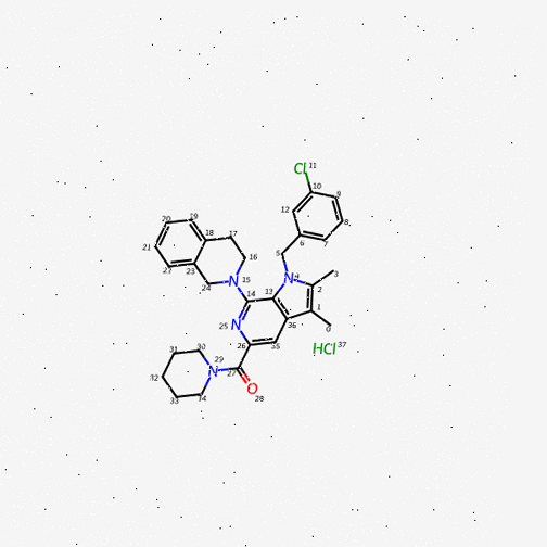 Cc1c(C)n(Cc2cccc(Cl)c2)c2c(N3CCc4ccccc4C3)nc(C(=O)N3CCCCC3)cc12.Cl